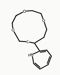 C1=CC=C(C2CCOCCOCCOCC2)NC=C1